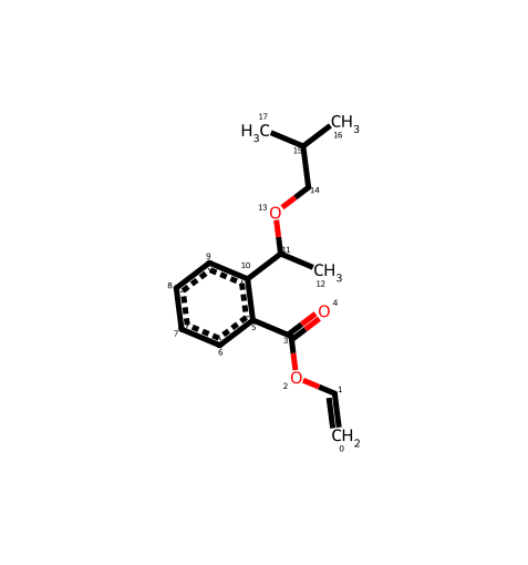 C=COC(=O)c1ccccc1C(C)OCC(C)C